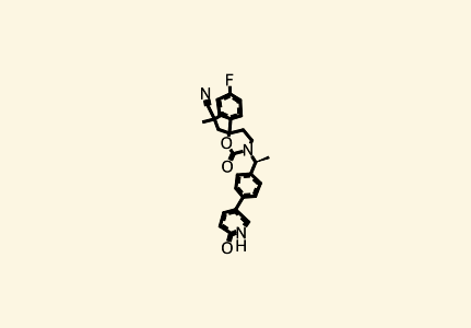 C[C@@H](c1ccc(-c2ccc(=O)[nH]c2)cc1)N1CCC(CC(C)(C)C#N)(c2ccc(F)cc2)OC1=O